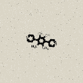 Cc1c(C)c(-c2ccncc2)c(C)c(C)c1-c1ccncc1